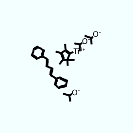 C(C=Cc1ccccc1)=Cc1ccccc1.CC(C)[O-].CC(C)[O-].CC(C)[O-].CC1=C(C)C(C)(C)[C]([Ti+3])=C1C